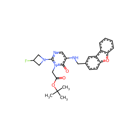 CC(C)(C)OC(=O)Cn1c(N2CC(F)C2)ncc(NCc2ccc3oc4ccccc4c3c2)c1=O